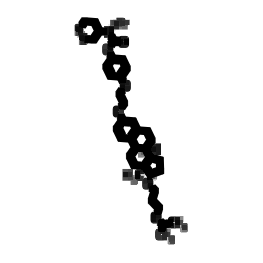 CCCN(C(=O)Oc1ccc(OCCOc2ccc3c(c2)CC[C@@H]2C3CC[C@@]3(C)C2CC[C@@H]3OCCCOC(C(F)(F)F)C(F)(F)F)cc1)C1CCSSC1